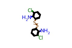 Nc1c(Cl)cccc1SSc1cccc(Cl)c1N